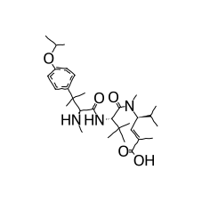 CN[C@H](C(=O)N[C@H](C(=O)N(C)[C@H](/C=C(\C)C(=O)O)C(C)C)C(C)(C)C)C(C)(C)c1ccc(OC(C)C)cc1